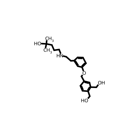 CC(C)(O)CCCNCCc1cccc(OCc2ccc(CO)c(CO)c2)c1